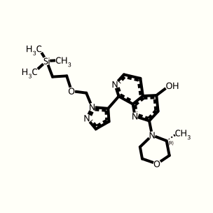 C[C@@H]1COCCN1c1cc(O)c2ccnc(-c3ccnn3COCC[Si](C)(C)C)c2n1